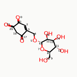 O=C1C=C(CO[C@H]2O[C@H](CO)[C@@H](O)[C@H](O)[C@@H]2O)C(=O)CC1=O